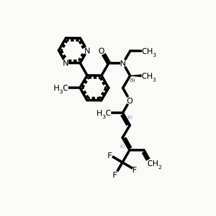 C=C/C(=C\C=C(/C)OC[C@H](C)N(CC)C(=O)c1cccc(C)c1-c1ncccn1)C(F)(F)F